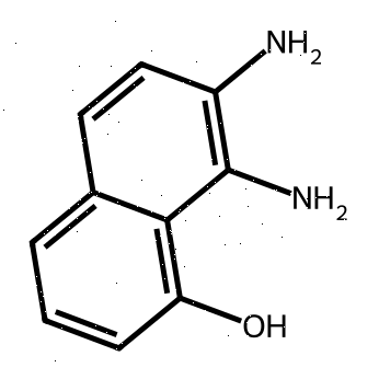 Nc1ccc2cccc(O)c2c1N